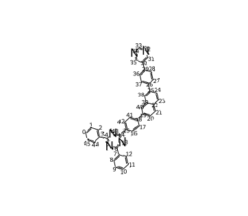 c1ccc(-c2nc(-c3ccccc3)nc(-c3ccc(-c4ccc5ccc(-c6ccc(-c7cncnc7)cc6)cc5c4)cc3)n2)cc1